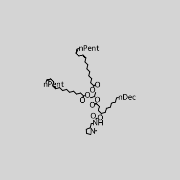 CCCCC/C=C\C/C=C\CCCCCCCC(=O)OCC(COC(=O)CCCCCCC/C=C\C/C=C\CCCCC)OC(=O)CCC(CCCCCCCCCCCCCCCC)OC(=O)NCC1CCCN1C